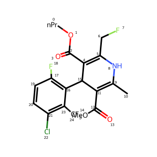 CCCOC(=O)C1=C(CF)NC(C)=C(C(=O)OC)C1c1c(F)ccc(Cl)c1C(F)(F)F